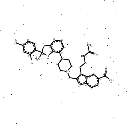 CC(=O)NCCn1c(CN2CCC(c3cccc4c3OC(C)(c3ccc(Cl)cc3F)O4)CC2)nc2ccc(C(=O)O)cc21